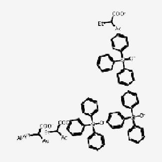 CCC(C(C)=O)C(=O)[O-].CCC(C(C)=O)C(=O)[O-].CCC(C(C)=O)C(=O)[O-].[Al+3].[Al+3].[O-][Si](c1ccccc1)(c1ccccc1)c1ccccc1.[O-][Si](c1ccccc1)(c1ccccc1)c1ccccc1.[O-][Si](c1ccccc1)(c1ccccc1)c1ccccc1